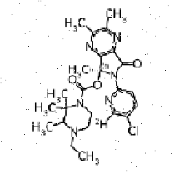 [2H]c1nc(N2C(=O)c3nc(C)c(C)nc3[C@]2(C)OC(=O)N2CCN(CC)C(C)C2(C)C)ccc1Cl